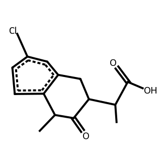 CC1C(=O)C(C(C)C(=O)O)Cc2cc(Cl)ccc21